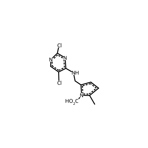 Cc1ccc(CNc2nc(Cl)ncc2Cl)n1C(=O)O